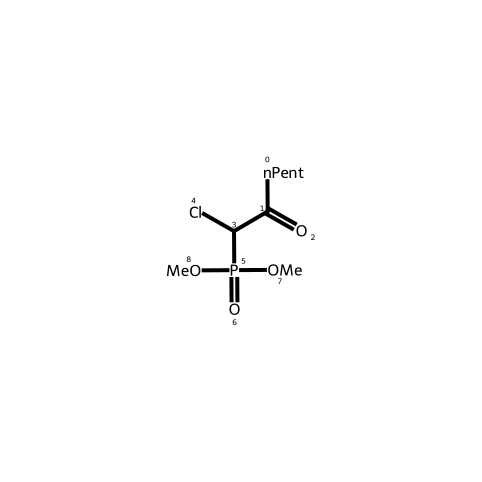 CCCCCC(=O)C(Cl)P(=O)(OC)OC